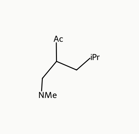 CNCC(CC(C)C)C(C)=O